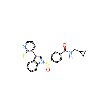 O=C(NCC1CC1)c1ccc([S+]([O-])n2cc(-c3cccnc3F)c3ccccc32)cc1